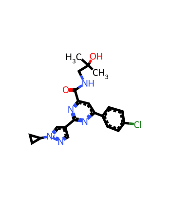 CC(C)(O)CNC(=O)c1cc(-c2ccc(Cl)cc2)nc(-c2cnn(C3CC3)c2)n1